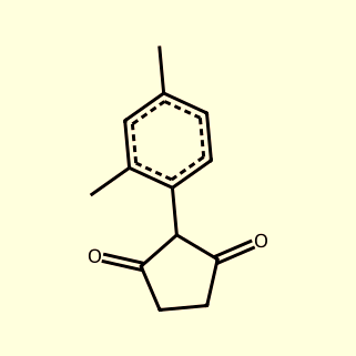 Cc1ccc(C2C(=O)CCC2=O)c(C)c1